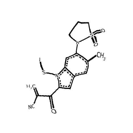 C=C(C#N)C(=O)c1cc2cc(C)c(N3CCCS3(=O)=O)cc2n1SI